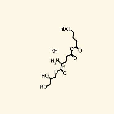 CCCCCCCCCCCCCC(=O)OC(=O)CC[C@H](N)C(=O)OCC(O)CO.[KH]